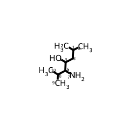 CC(C)CC(O)C(N)C(C)C